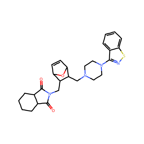 O=C1C2CCCCC2C(=O)N1CC1C2C=CC(O2)C1CN1CCN(c2nsc3ccccc23)CC1